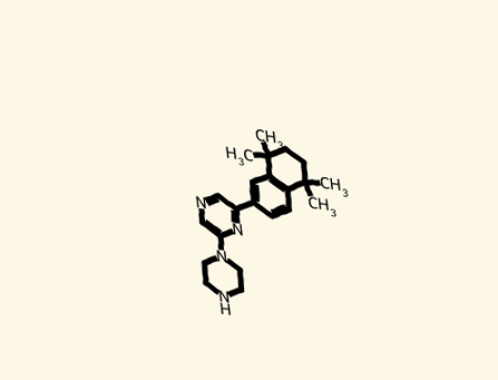 CC1(C)CCC(C)(C)c2cc(-c3cncc(N4CCNCC4)n3)ccc21